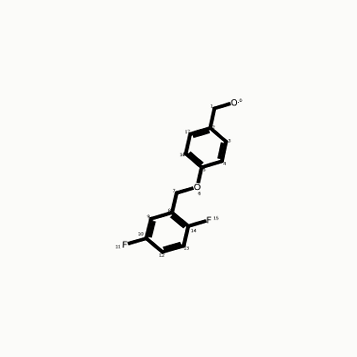 [O]Cc1ccc(OCc2cc(F)ccc2F)cc1